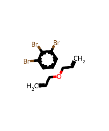 Brc1cccc(Br)c1Br.C=CCOCC=C